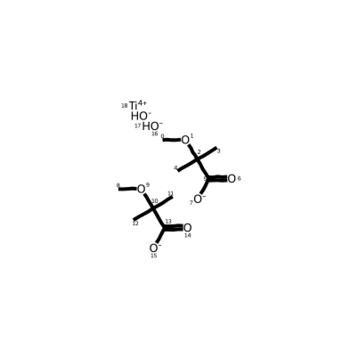 COC(C)(C)C(=O)[O-].COC(C)(C)C(=O)[O-].[OH-].[OH-].[Ti+4]